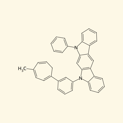 CC1=CC=C(c2cccc(-n3c4ccccc4c4cc5c6ccccc6n(-c6ccccc6)c5cc43)c2)CC=C1